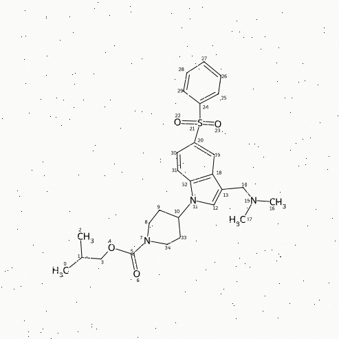 CC(C)COC(=O)N1CCC(n2cc(CN(C)C)c3cc(S(=O)(=O)c4ccccc4)ccc32)CC1